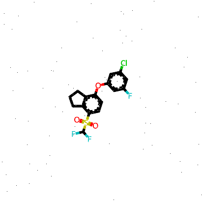 O=S(=O)(c1ccc(Oc2cc(F)cc(Cl)c2)c2c1CCC2)C(F)F